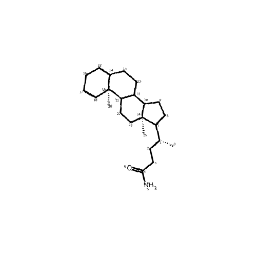 C[C@H](CCC(N)=O)C1CCC2C3CCC4CCCC[C@]4(C)C3CC[C@@]21C